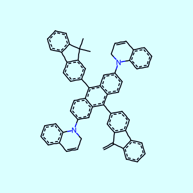 C=C1c2ccccc2-c2ccc(-c3c4ccc(N5CC=Cc6ccccc65)cc4c(-c4ccc5c(c4)C(C)(C)c4ccccc4-5)c4ccc(N5CC=Cc6ccccc65)cc34)cc21